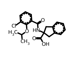 CC(C)Oc1c(Cl)cccc1C(=O)NC1(C(=O)O)Cc2ccccc2C1